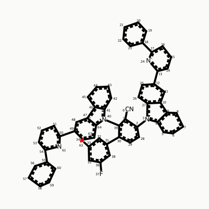 N#Cc1c(-n2c3ccccc3c3cc(-c4cccc(-c5ccccc5)n4)ccc32)ccc(-c2cc(F)cc(F)c2)c1-n1c2ccccc2c2cc(-c3cccc(-c4ccccc4)n3)ccc21